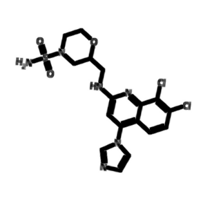 NS(=O)(=O)N1CCOC(CNc2cc(-n3ccnc3)c3ccc(Cl)c(Cl)c3n2)C1